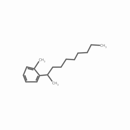 CCCCCCCC[C](C)c1ccccc1C